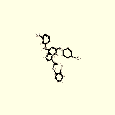 N#Cc1cccc(Nc2cc(N[C@H]3CC[C@H](N)CC3)nn3c(C(=O)Nc4ccncc4F)cnc23)c1